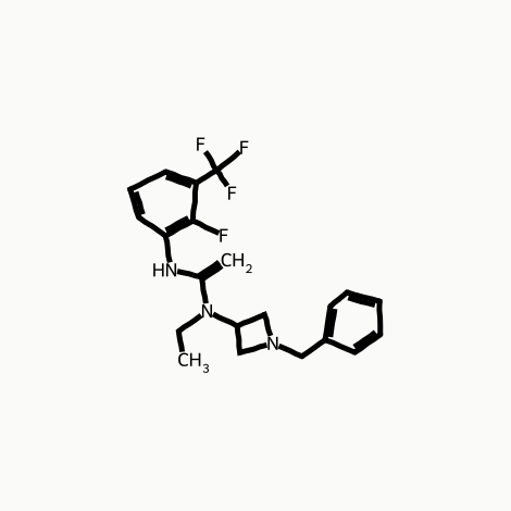 C=C(Nc1cccc(C(F)(F)F)c1F)N(CC)C1CN(Cc2ccccc2)C1